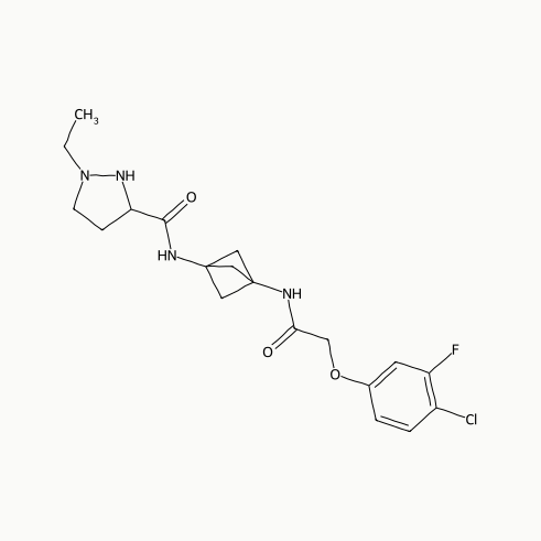 CCN1CCC(C(=O)NC23CC(NC(=O)COc4ccc(Cl)c(F)c4)(C2)C3)N1